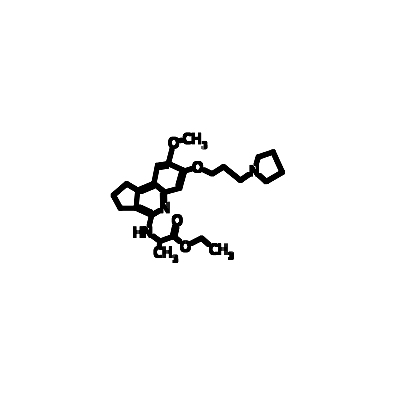 CCOC(=O)C(C)Nc1nc2cc(OCCCN3CCCC3)c(OC)cc2c2c1CCC2